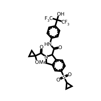 COC1(C(=O)N2Cc3cc(S(=O)(=O)C4CC4)ccc3C2C(=O)Nc2ccc(C(O)(C(F)(F)F)C(F)(F)F)cc2)CC1